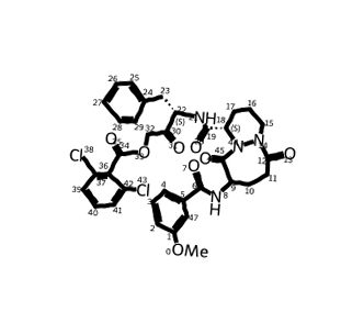 COc1cccc(C(=O)NC2CCC(=O)N3CCC[C@@H](C(=O)N[C@@H](Cc4ccccc4)C(=O)COC(=O)c4c(Cl)cccc4Cl)N3C2=O)c1